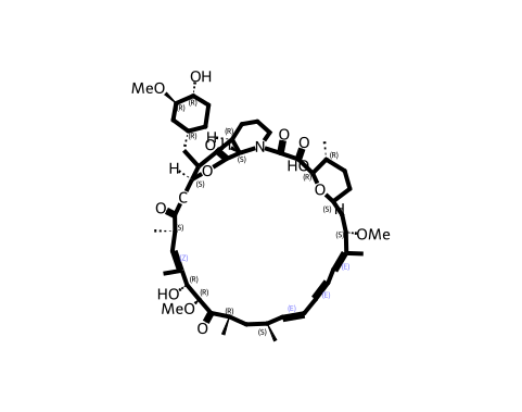 CO[C@H]1C[C@@H]2CC[C@@H](C)[C@@](O)(O2)C(=O)C(=O)N2CCC[C@@H]3C(C[C@H]4CC[C@@H](O)[C@H](OC)C4)[C@H](CC(=O)[C@@H](C)/C=C(/C)[C@@H](O)[C@@H](OC)C(=O)[C@H](C)C[C@H](C)/C=C/C=C/C=C/1C)OC(=O)[C@H]32